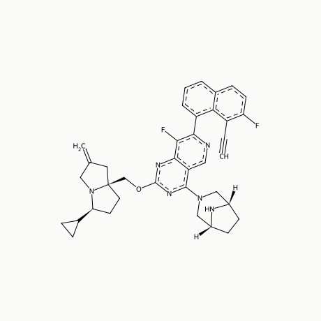 C#Cc1c(F)ccc2cccc(-c3ncc4c(N5C[C@H]6CC[C@@H](C5)N6)nc(OC[C@@]56CC[C@@H](C7CC7)N5CC(=C)C6)nc4c3F)c12